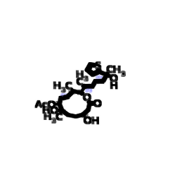 CC(=O)O[C@@H]1/C=C/[C@H](C)[C@@H](/C(C)=C/C=C/C(C)(O)c2cccs2)OC(=O)C[C@H](O)CC[C@@]1(C)O